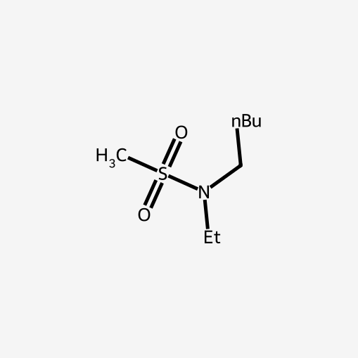 CCCCCN(CC)S(C)(=O)=O